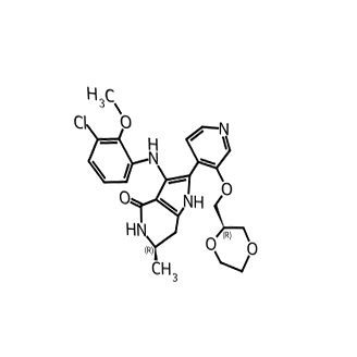 COc1c(Cl)cccc1Nc1c(-c2ccncc2OC[C@H]2COCCO2)[nH]c2c1C(=O)N[C@H](C)C2